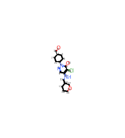 O=C[C@H]1CC[C@H](n2ncc(NCC3CCCOC3)c(Cl)c2=O)CC1